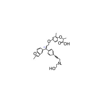 Cc1cc2cc(/C(=C/COc3ccc(OC(C)C(=O)O)c(C)c3)c3ccc(C#CCN(C)CCO)cc3)ccc2o1